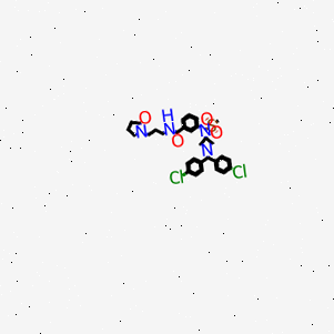 CS(=O)(=O)N(c1cccc(C(=O)NCCCN2CCCC2=O)c1)C1CN(C(c2ccc(Cl)cc2)c2ccc(Cl)cc2)C1